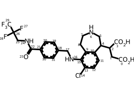 O=C(O)CC(C(=O)O)C1CNCCc2c1ccc(Cl)c2NCc1ccc(C(=O)NCC(F)(F)C(F)(F)F)cc1